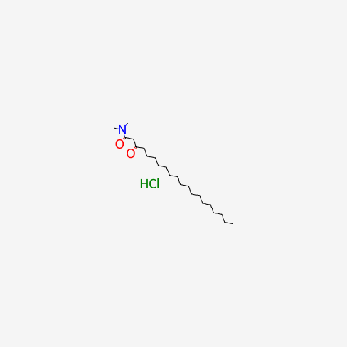 CCCCCCCCCCCCCCCCCC(=O)CC(=O)N(C)C.Cl